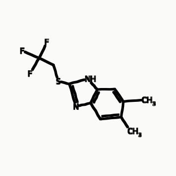 Cc1cc2nc(SCC(F)(F)F)[nH]c2cc1C